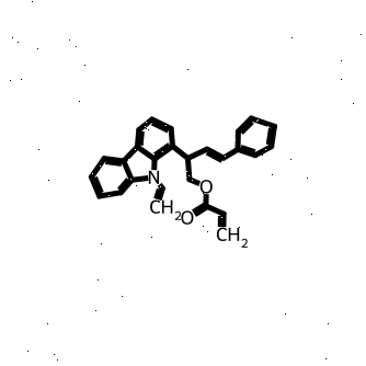 C=CC(=O)OCC(C=Cc1ccccc1)c1cccc2c3ccccc3n(C=C)c12